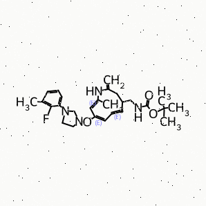 C=C1CC(CNC(=O)OC(C)(C)C)/C=C/C=C(ON2CCN(c3cccc(C)c3F)C2)\C=C(/C)N1